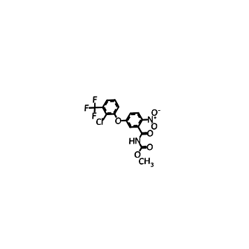 COC(=O)NC(=O)c1cc(Oc2cccc(C(F)(F)F)c2Cl)ccc1[N+](=O)[O-]